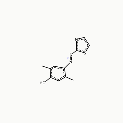 Cc1cc(/N=N/c2nccs2)c(C)cc1O